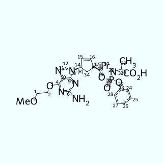 COCCOc1nc(N)nc2c1ncn2[C@H]1C=C[C@@H](CO[P@@](=O)(Oc2ccccc2)N(C(C)C)C(C)C(=O)O)C1